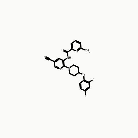 Cc1cccc(C(=O)Nc2cc(C#N)cnc2N2CCC(Oc3ccc(F)cc3F)CC2)n1